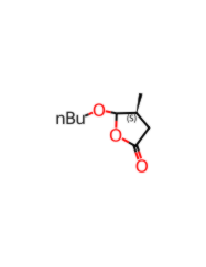 CCCCOC1OC(=O)C[C@@H]1C